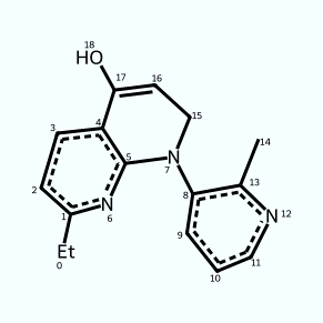 CCc1ccc2c(n1)N(c1cccnc1C)CC=C2O